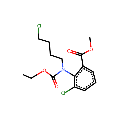 CCOC(=O)N(CCCCCl)c1c(Cl)cccc1C(=O)OC